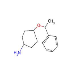 CC(OC1CCC(N)CC1)c1ccccc1